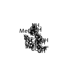 CC1COc2c(N3CCN(C)CC3)c(F)cc3c(=O)c(C(=O)O)cn1c23.CO[C@@H]1[C@@H](OC(N)=O)[C@@H](O)[C@H](Oc2ccc3c(=O)c(NC(=O)c4ccc(O)c(CC=C(C)C)c4)c(O)oc3c2C)OC1(C)C